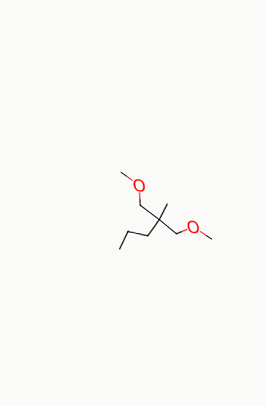 CCCC(C)(COC)COC